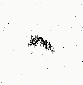 C[C@]1(c2nc(NC(=O)c3cnc(OCF)cn3)ccc2F)N=C(N)O[C@H](CF)[C@@H]1F